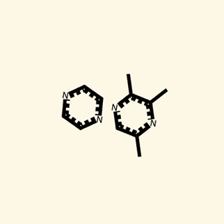 Cc1cnc(C)c(C)n1.c1cnccn1